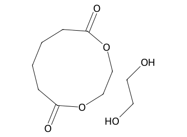 O=C1CCCCC(=O)OCCO1.OCCO